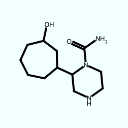 NC(=O)N1CCNCC1C1CCCCC(O)C1